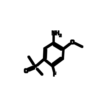 COc1cc(F)c(P(C)(C)=O)cc1N